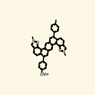 COc1ccc(-c2cc3cc4c(cc(-c5ccc(C)cc5)c5ccc6cn(C)nc6c54)cc3c3c2ccc2cn(C)nc23)cc1